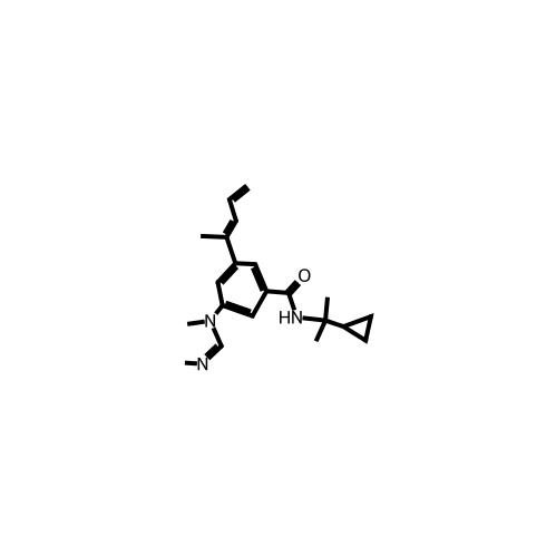 C=C/C=C(\C)c1cc(C(=O)NC(C)(C)C2CC2)cc(N(C)/C=N\C)c1